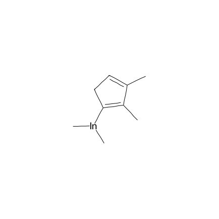 CC1=CC[C]([In]([CH3])[CH3])=C1C